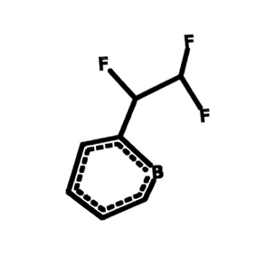 FC(F)C(F)c1bcccc1